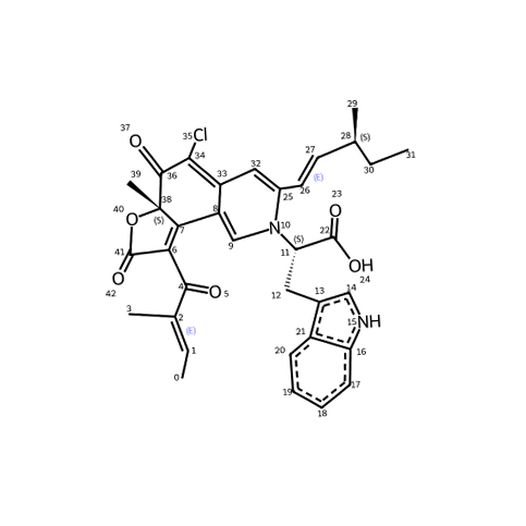 C/C=C(\C)C(=O)C1=C2C3=CN([C@@H](Cc4c[nH]c5ccccc45)C(=O)O)C(/C=C/[C@@H](C)CC)=CC3=C(Cl)C(=O)[C@@]2(C)OC1=O